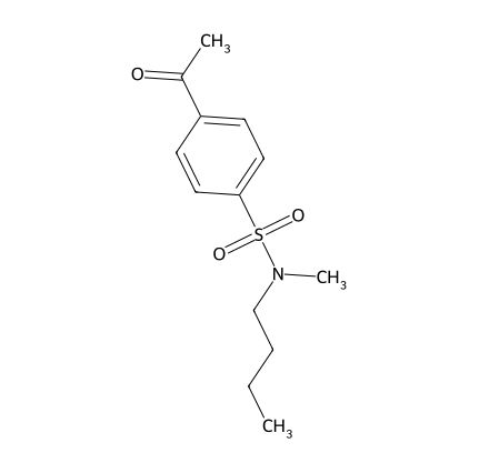 CCCCN(C)S(=O)(=O)c1ccc(C(C)=O)cc1